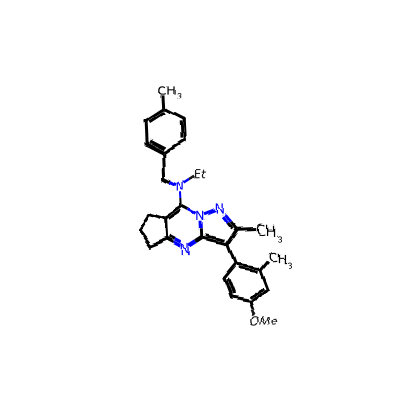 CCN(Cc1ccc(C)cc1)c1c2c(nc3c(-c4ccc(OC)cc4C)c(C)nn13)CCC2